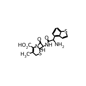 CC1=C(C(=O)O)N2C(=O)[C@@H](NC(=O)C(N)c3cccc4sccc34)[C@@H]2SC1